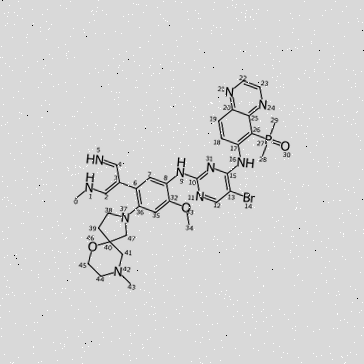 CN/C=C(\C=N)c1cc(Nc2ncc(Br)c(Nc3ccc4nccnc4c3P(C)(C)=O)n2)c(OC)cc1N1CCC2(CN(C)CCO2)C1